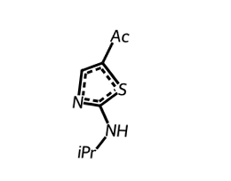 CC(=O)c1cnc(NC(C)C)s1